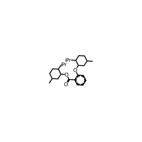 CC1CCC(C(C)C)C(OC(=O)c2ccccc2OC2CC(C)CCC2C(C)C)C1